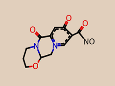 O=NC(=O)c1cn2c(cc1=O)C(=O)N1CCCOC1C2